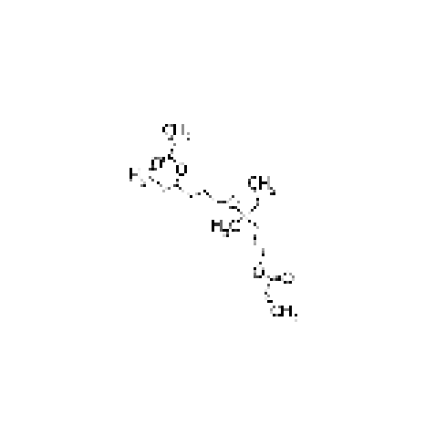 C=CC(=O)OCCCC(C)(CC)OCCCC(CC)OC(=O)C=C